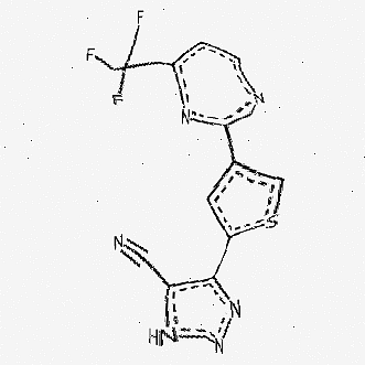 N#Cc1[nH]nnc1-c1cc(-c2nccc(C(F)(F)F)n2)cs1